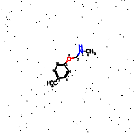 CNCOc1ccc(C)cc1